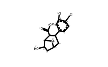 COC(=O)C1C(c2ccc(Cl)c(Cl)c2)CC2CC(O)C1N2